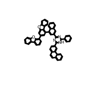 c1ccc(C2N=C(c3cc(-c4cc(-c5cccc6c5oc5ccccc56)cc5oc6ccccc6c45)c4ccccc4c3)N=C(c3ccc4ccc5ccccc5c4c3)N2)cc1